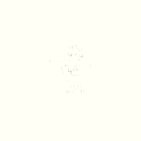 CC(=O)Nc1c(I)c(C(=O)O)c(I)c(C(=O)O)c1I.CC1(C)OCC(C(O)C(N)=O)O1.CC1(C)OCC(C(O)C(N)=O)O1